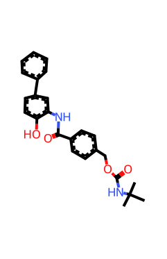 CC(C)(C)NC(=O)OCc1ccc(C(=O)Nc2cc(-c3ccccc3)ccc2O)cc1